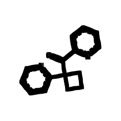 O=C(c1ccccn1)C1(c2ccccn2)CCC1